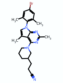 Cc1nc(N2CCCC(CCC#N)C2)c2c(C)cn(-c3c(C)cc(Br)cc3C)c2n1